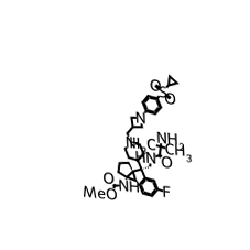 COC(=O)N[C@]12CCC[C@@]1([C@](CNC(=O)C(C)(C)N)(c1cccc(F)c1)C1CCN(CC3CN(c4ccc(S(=O)(=O)C5CC5)cc4)C3)CC1)C2